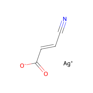 N#C/C=C/C(=O)[O-].[Ag+]